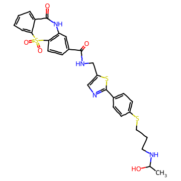 CC(O)NCCCSc1ccc(-c2ncc(CNC(=O)c3ccc4c(c3)NC(=O)c3ccccc3S4(=O)=O)s2)cc1